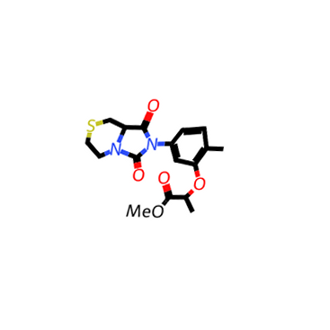 COC(=O)C(C)Oc1cc(N2C(=O)C3CSCCN3C2=O)ccc1C